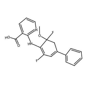 COC1(F)CC(c2ccccc2)=CC(F)=C1Nc1ncccc1C(=O)O